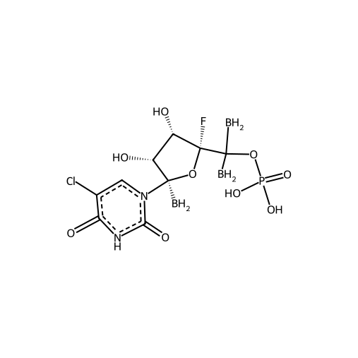 BC(B)(OP(=O)(O)O)[C@@]1(F)O[C@@](B)(n2cc(Cl)c(=O)[nH]c2=O)[C@H](O)[C@@H]1O